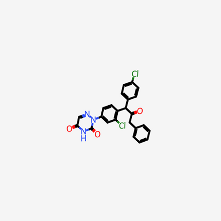 O=C(Cc1ccccc1)C(c1ccc(Cl)cc1)c1ccc(-n2ncc(=O)[nH]c2=O)cc1Cl